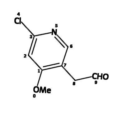 COc1cc(Cl)ncc1CC=O